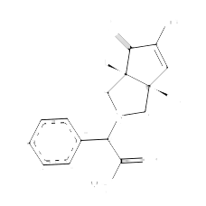 CCCCC1=C[C@@H]2CN(C(C(=O)OC)c3ccccc3)C[C@@H]2C1=O